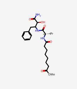 COC(=O)CCCCCCC(=O)N[C@H](C(=O)NC(Cc1ccccc1)C(O)C(N)=O)C(C)C